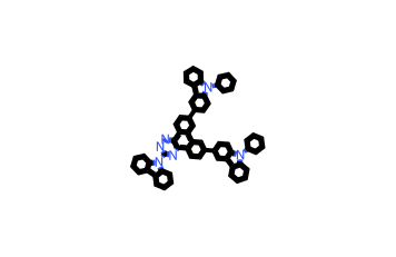 c1ccc(-n2c3ccccc3c3cc(-c4ccc5c(c4)c4cc(-c6ccc7c(c6)c6ccccc6n7-c6ccccc6)ccc4c4nc(-n6c7ccccc7c7ccccc76)nnc54)ccc32)cc1